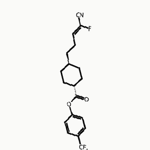 N#CC(F)=CCC[C@H]1CC[C@H](C(=O)Oc2ccc(C(F)(F)F)cc2)CC1